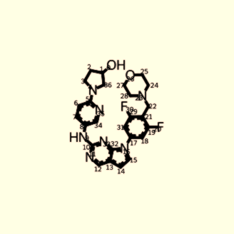 OC1CCN(c2ccc(Nc3ncc4ccn(-c5cc(F)c(CN6CCOCC6)c(F)c5)c4n3)cn2)C1